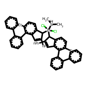 CCCC1=Cc2c(ccc(CC)c2-c2ccccc2-c2ccccc2)[CH]1[Zr]([Cl])([Cl])([CH]1C(CCC)=Cc2c1ccc(CC)c2-c1ccccc1-c1ccccc1)[SiH](C)C